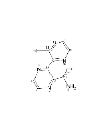 NC(=O)c1nccnc1-c1ncccc1F